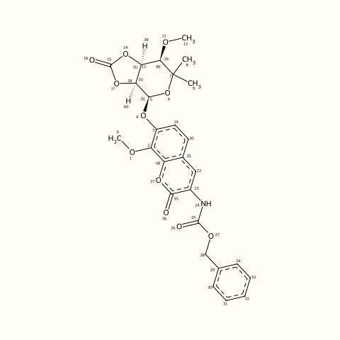 COc1c(O[C@@H]2OC(C)(C)[C@H](OC)[C@@H]3OC(=O)O[C@H]23)ccc2cc(NC(=O)OCc3ccccc3)c(=O)oc12